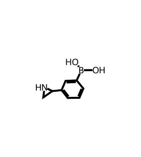 OB(O)c1cccc(C2CN2)c1